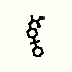 CC(=CC1CCC(C(C)(C)C2CCCCC2)CC1)C(=O)O